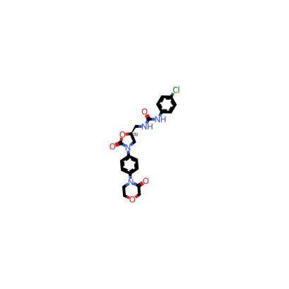 O=C(NC[C@H]1CN(c2ccc(N3CCOCC3=O)cc2)C(=O)O1)Nc1ccc(Cl)cc1